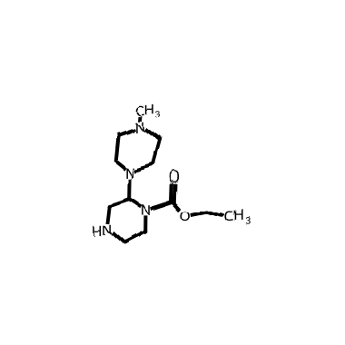 CCOC(=O)N1CCNCC1N1CCN(C)CC1